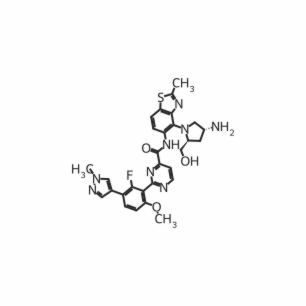 COc1ccc(-c2cnn(C)c2)c(F)c1-c1nccc(C(=O)Nc2ccc3sc(C)nc3c2N2C[C@H](N)C[C@H]2CO)n1